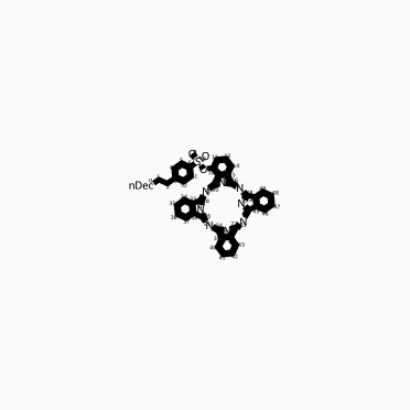 CCCCCCCCCCCCc1ccc(S(=O)(=O)Oc2cccc3c4nc5nc(nc6[nH]c(nc7nc(nc([nH]4)c23)-c2ccccc2-7)c2ccccc62)-c2ccccc2-5)cc1